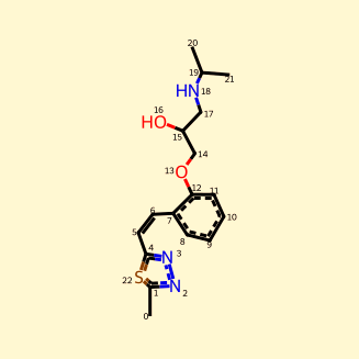 Cc1nnc(/C=C\c2ccccc2OCC(O)CNC(C)C)s1